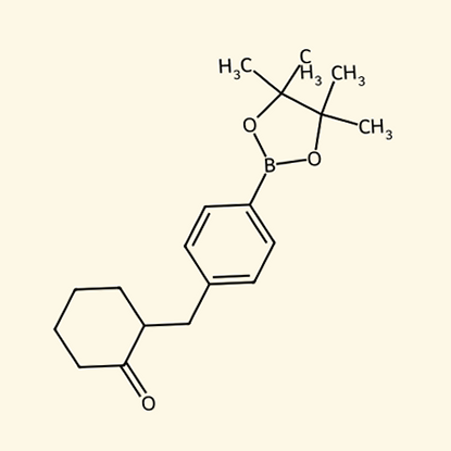 CC1(C)OB(c2ccc(CC3CCCCC3=O)cc2)OC1(C)C